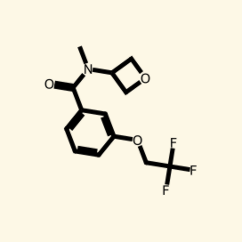 CN(C(=O)c1cccc(OCC(F)(F)F)c1)C1COC1